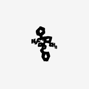 C[C@@H]1CCN([C@@H](C)c2ccccc2)[C@@H]1C(=O)OCc1ccccc1